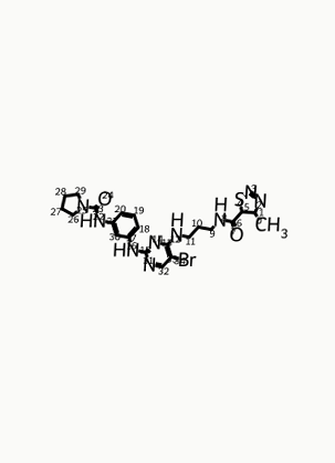 CC1N=NSC1C(=O)NCCCNc1nc(Nc2cccc(NC(=O)N3CCCC3)c2)ncc1Br